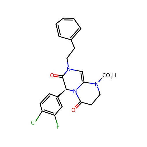 O=C1[C@H](c2ccc(Cl)c(F)c2)N2C(=O)CCN(C(=O)O)C2=CN1CCc1ccccc1